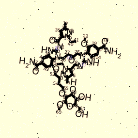 CCn1nc(C)cc1C(=O)/N=c1/[nH]c2cc(C(N)=O)cc(OC)c2n1C/C=C/Cn1/c(=N/C(=O)c2cc(C)nn2CC)[nH]c2cc(C(N)=O)cc(OCCCCO[C@H]3[C@@H](OC)O[C@H](CO)[C@@H](O)[C@@H]3O)c21